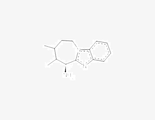 CC1CCn2c(nc3ccccc32)[C@@H](N)C1C